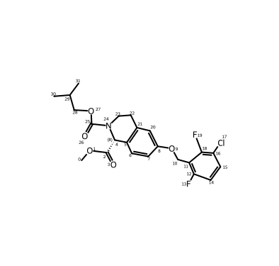 COC(=O)[C@H]1c2ccc(OCc3c(F)ccc(Cl)c3F)cc2CCN1C(=O)OCC(C)C